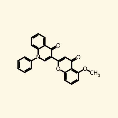 COc1cccc2oc(-c3cn(-c4ccccc4)c4ccccc4c3=O)cc(=O)c12